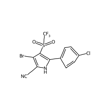 N#Cc1[nH]c(-c2ccc(Cl)cc2)c(S(=O)(=O)C(F)(F)F)c1Br